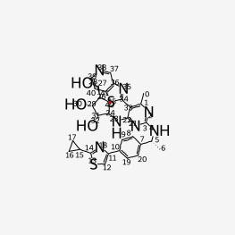 Cc1nc(N[C@H](C)c2ccc(-c3csc(C4CC4)n3)cc2)nc(NC2C[C@H](CO)[C@@H](O)[C@H]2O)c1-c1nc2cnccc2s1